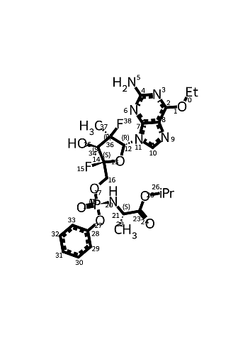 CCOc1nc(N)nc2c1ncn2[C@@H]1O[C@](F)(CO[P@](=O)(N[C@@H](C)C(=O)OC(C)C)Oc2ccccc2)[C@@H](O)[C@@]1(C)F